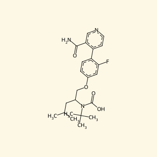 CC(C)CC(COc1ccc(-c2ccncc2C(N)=O)c(F)c1)N(C(=O)O)C(C)(C)C